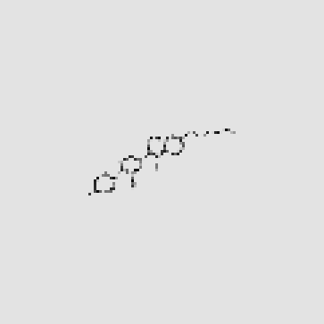 CCCCCCc1ccc2c(F)c(-c3ccc(-c4ccc(C)cc4)c(F)c3)ccc2c1